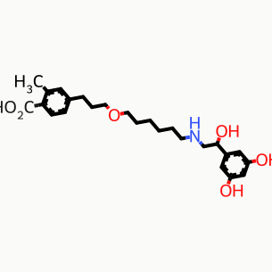 Cc1cc(CCCOCCCCCCNCC(O)c2cc(O)cc(O)c2)ccc1C(=O)O